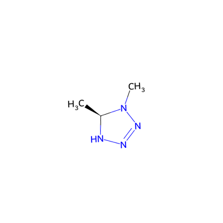 C[C@@H]1NN=NN1C